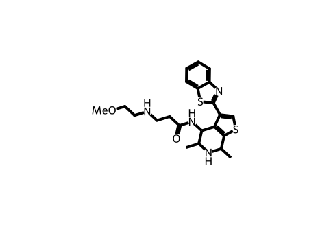 COCCNCCC(=O)NC1c2c(-c3nc4ccccc4s3)csc2C(C)NC1C